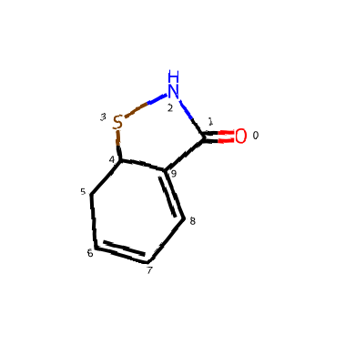 O=C1NSC2CC=CC=C12